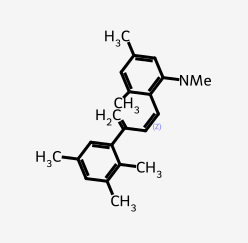 C=C(/C=C\c1c(C)cc(C)cc1NC)c1cc(C)cc(C)c1C